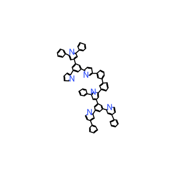 c1ccc(-c2ccnc(-c3cc(-c4cc(-c5ccccc5)nc(-c5cccc(-c6cccc(-c7ccc(-c8cc(-c9cc(-c%10ccccc%10)nc(-c%10ccccc%10)c9)cc(-c9ccccn9)c8)nc7)c6)c5)c4)cc(-c4cc(-c5ccccc5)ccn4)c3)c2)cc1